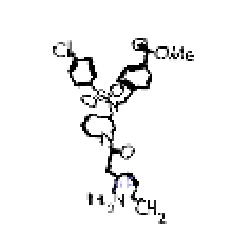 C=C/C=C\C(=C/N)CC(=O)N1CCCC(N(Cc2ccc(C(=O)OC)cc2)S(=O)(=O)c2ccc(Cl)cc2)C1